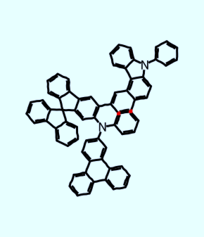 c1ccc(N(c2ccc3c4ccccc4c4ccccc4c3c2)c2cc3c(cc2-c2ccc4ccc5c(c4c2)c2ccccc2n5-c2ccccc2)-c2ccccc2C32c3ccccc3-c3ccccc32)cc1